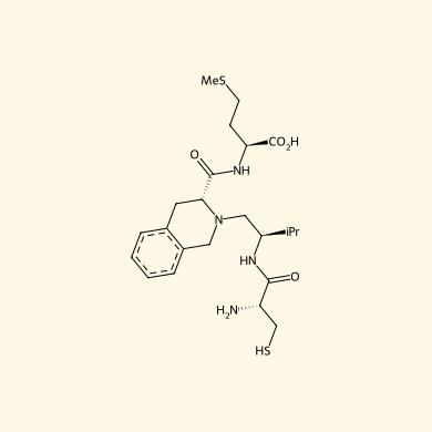 CSCC[C@H](NC(=O)[C@H]1Cc2ccccc2CN1C[C@H](NC(=O)[C@@H](N)CS)C(C)C)C(=O)O